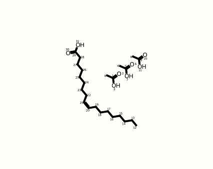 CC(=O)O.CC(=O)O.CC(=O)O.CCCCCCCC/C=C\CCCCCCCC(=O)O